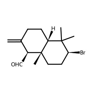 C=C1CC[C@@H]2C(C)(C)[C@@H](Br)CC[C@]2(C)[C@H]1C=O